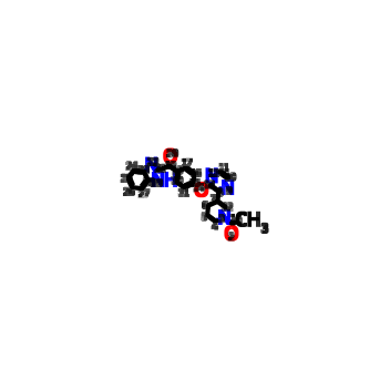 CC(=O)N1CCCC(c2nccnc2Oc2ccc(C(=O)c3nc4ccccc4[nH]3)cc2)C1